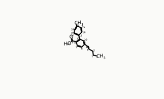 CCCC=Cc1ccc(C(=O)O)c(-c2ccc(C)cc2)c1